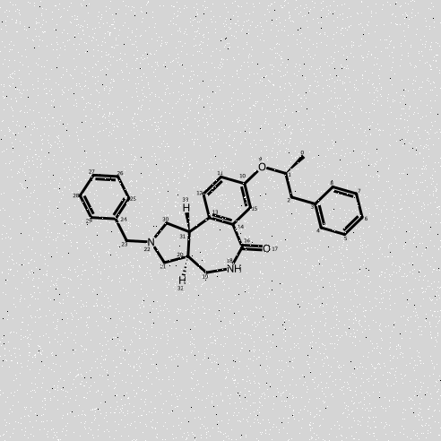 C[C@@H](Cc1ccccc1)Oc1ccc2c(c1)C(=O)NC[C@H]1CN(Cc3ccccc3)C[C@H]21